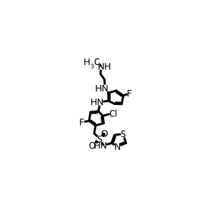 CNCCNc1cc(F)ccc1Nc1cc(F)c(CS(=O)(=O)Nc2cscn2)cc1Cl